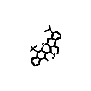 Cc1c2c(c(C(C)(C)C)c3ccccc13)Sc1cc3c(C(C)C)cccc3c3cc[n+](C)c-2c13